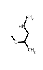 CC(CNP)OI